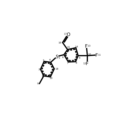 Cc1ccc(Sc2ccc(C(F)(F)F)cc2C=O)cc1